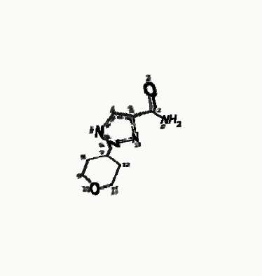 NC(=O)c1cnn(C2CCOCC2)n1